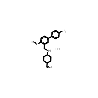 CCOc1ccc(-c2ccc(C(F)(F)F)cc2)cc1CNC1CCC(NC)CC1.Cl